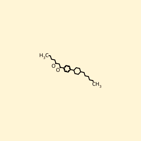 CCCCCCC1CCC(c2ccc(C(=O)CC(=O)CCCC)cc2)CC1